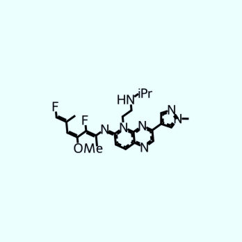 COC(=C/C(C)=C/F)/C(F)=C(C)/N=c1\ccc2ncc(-c3cnn(C)c3)nc2n1CCNC(C)C